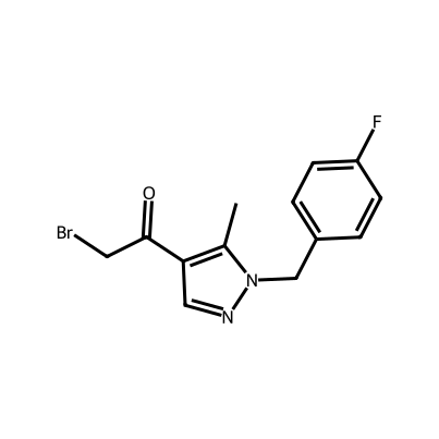 Cc1c(C(=O)CBr)cnn1Cc1ccc(F)cc1